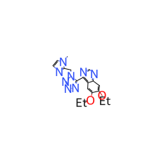 CCOc1cc2ncnc(-c3nnnn3Cc3nccn3C)c2cc1OCC